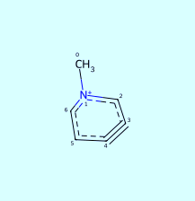 C[n+]1cc#ccc1